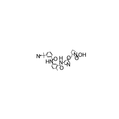 Cc1ccc(NC(=O)c2cccc(C(C)(C)C#N)c2)cc1C(=O)Nc1cncc(OCC2CCCN2C(=O)O)c1